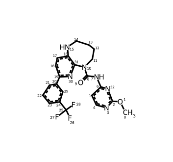 COc1nccc(NC(=O)N2CCCCNc3ccc(-c4cccc(C(F)(F)F)c4)nc32)n1